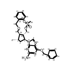 C[C@H]1C[C@H](n2cnc3c(OCc4ccccc4)nc(N)nc32)[C@@H](COS(C)(=O)=O)[C@@H]1COCc1ccccc1